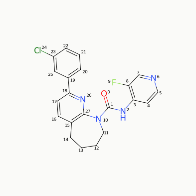 O=C(Nc1ccncc1F)N1CCCCc2ccc(-c3cccc(Cl)c3)nc21